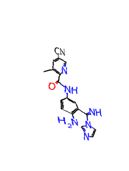 Cc1cc(C#N)cnc1C(=O)Nc1ccc(N)c(C(=N)n2ccnc2)c1